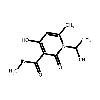 CNC(=O)c1c(O)cc(C)n(C(C)C)c1=O